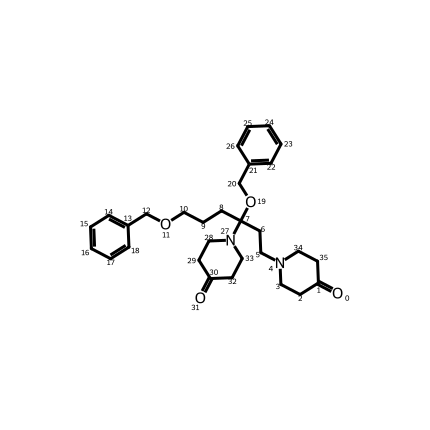 O=C1CCN(CCC(CCCOCc2ccccc2)(OCc2ccccc2)N2CCC(=O)CC2)CC1